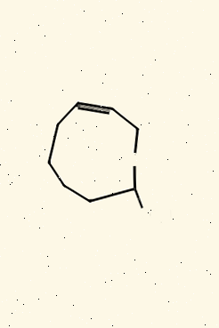 O=C(O)C1CC/C=C\CCCC1